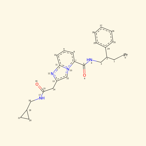 CC(C)CC(CNC(=O)c1cccc2nc(CC(=O)NCC3CC3)cn12)c1ccccc1